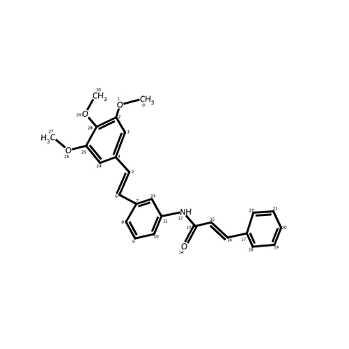 COc1cc(C=Cc2cccc(NC(=O)C=Cc3ccccc3)c2)cc(OC)c1OC